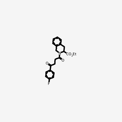 CCOC(=O)C1Cc2ccccc2CN1C(=O)CCC(=O)c1ccc(F)cc1